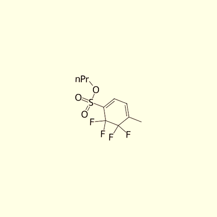 CCCOS(=O)(=O)C1=CC=C(C)C(F)(F)C1(F)F